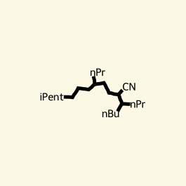 CCCCC(CCC)C(C#N)CCC(CCC)CCCC(C)CCC